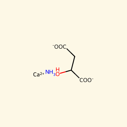 N.O=C([O-])CC(O)C(=O)[O-].[Ca+2]